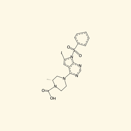 C[C@@H]1CN(c2ncnc3c2cc(I)n3S(=O)(=O)c2ccccc2)CCN1C(=O)O